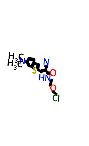 CN(C)c1ccc2cc(/C=C(\C#N)C(=O)NCCOCCCl)sc2c1